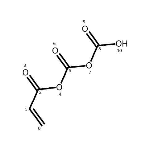 C=CC(=O)OC(=O)OC(=O)O